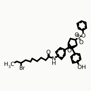 CCC(Br)CCCCCCC(=O)Nc1ccc(C2=C(c3ccc(O)cc3)C3C(=O)C2CC3S(=O)(=O)Oc2ccccc2)cc1